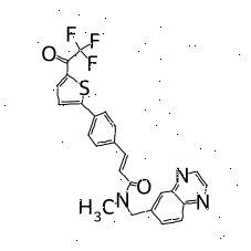 CN(Cc1ccc2nccnc2c1)C(=O)C=Cc1ccc(-c2ccc(C(=O)C(F)(F)F)s2)cc1